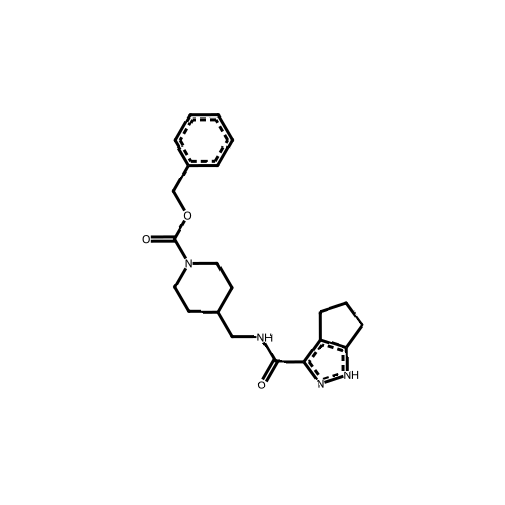 O=C(NCC1CCN(C(=O)OCc2ccccc2)CC1)c1n[nH]c2c1CCC2